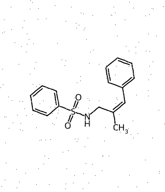 CC(=Cc1ccccc1)CNS(=O)(=O)c1ccccc1